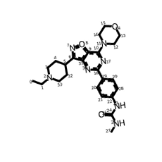 CCN1CCC(c2noc3c(N4CCOCC4)nc(-c4ccc(NC(=O)NC)cc4)nc23)CC1